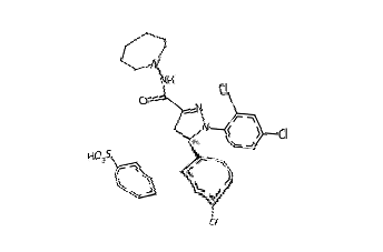 O=C(NN1CCCCC1)C1=NN(c2ccc(Cl)cc2Cl)[C@@H](c2ccc(Cl)cc2)C1.O=S(=O)(O)c1ccccc1